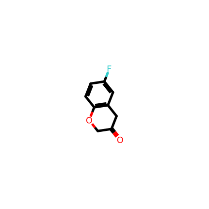 O=C1COc2ccc(F)cc2C1